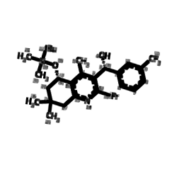 Cc1c([C@H](O)c2cccc(C(F)(F)F)c2)c(C(C)C)nc2c1[C@@H](O[Si](C)(C)C(C)(C)C)CC(C)(C)C2